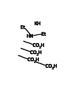 CC(=O)O.CC(=O)O.CC(=O)O.CC(=O)O.CCNCC.[KH]